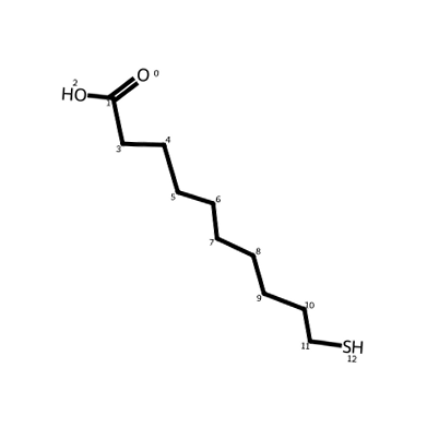 O=C(O)CCCCCCCCCS